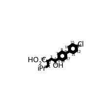 CC(C)CC(CC(O)c1ccc(-c2ccc(Cl)cc2)cc1)C(=O)O